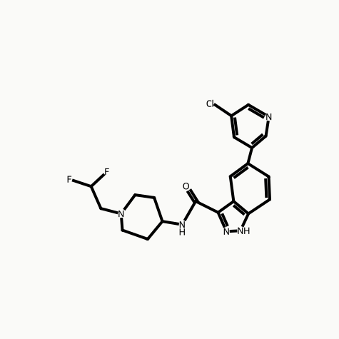 O=C(NC1CCN(CC(F)F)CC1)c1n[nH]c2ccc(-c3cncc(Cl)c3)cc12